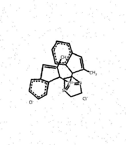 CC1=Cc2ccccc2[CH]1[Zr+2]1([CH]2C(C)=Cc3ccccc32)=[Si]2CC[Si]=1CC2.[Cl-].[Cl-]